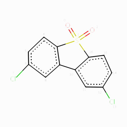 O=S1(=O)c2ccc(Cl)cc2-c2cc(Cl)ccc21